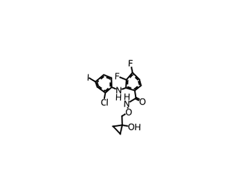 O=C(NOCC1(O)CC1)c1ccc(F)c(F)c1Nc1ccc(I)cc1Cl